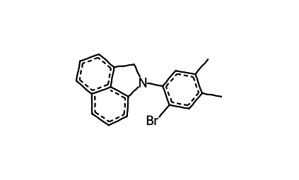 Cc1cc(Br)c(N2Cc3cccc4cccc2c34)cc1C